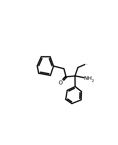 [CH2]CC(N)(C(=O)Cc1ccccc1)c1ccccc1